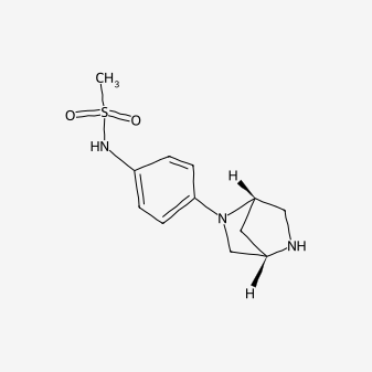 CS(=O)(=O)Nc1ccc(N2C[C@@H]3C[C@H]2CN3)cc1